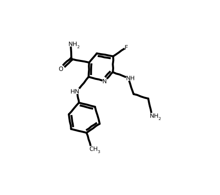 Cc1ccc(Nc2nc(NCCN)c(F)cc2C(N)=O)cc1